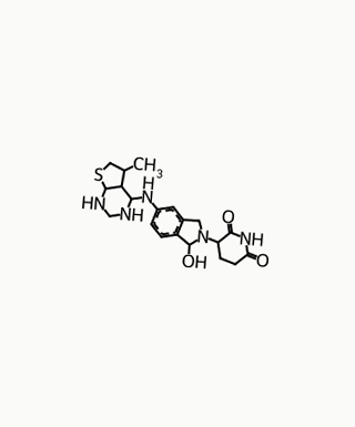 CC1CSC2NCNC(Nc3ccc4c(c3)CN(C3CCC(=O)NC3=O)C4O)C12